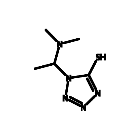 CC(N(C)C)n1nnnc1S